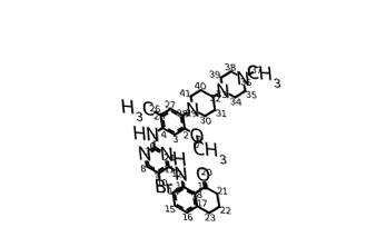 COc1cc(Nc2ncc(Br)c(Nc3cccc4c3C(=O)CCC4)n2)c(C)cc1N1CCC(N2CCN(C)CC2)CC1